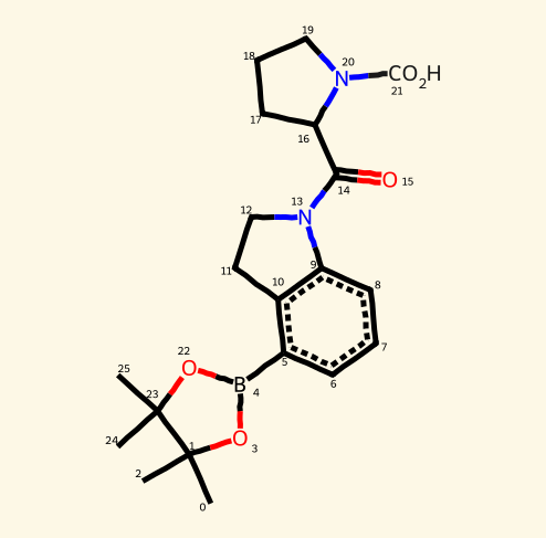 CC1(C)OB(c2cccc3c2CCN3C(=O)C2CCCN2C(=O)O)OC1(C)C